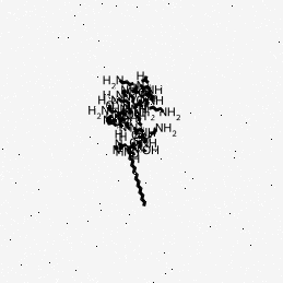 CCCCCCCCCCCCCCCC(=O)N[C@@H](Cc1cnc[nH]1)C(=O)N[C@@H](CO)C(=O)N[C@@H](CCCCN)C(=O)N[C@@H](CCCCN)C(=O)NCC(=O)N[C@@H](Cc1cnc[nH]1)C(=O)N[C@@H](CCC(N)=O)C(=O)N[C@@H](CCCCN)C(=O)N[C@@H](CCCNC(=N)N)C(=O)N[C@@H](CCCCN)C(=O)N[C@@H](C)C(=O)N[C@@H](CC(C)C)C(=O)N[C@@H](CCCCN)C(N)=O